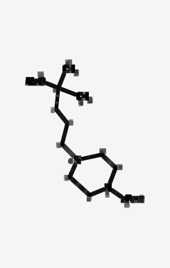 CCCCCN1CCN(CCCC(C)(C)OC)CC1